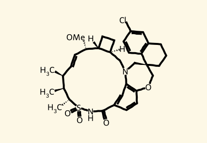 CO[C@H]1/C=C/[C@H](C)[C@H](C)[C@@H](C)S(=O)(=O)NC(=O)c2ccc3c(c2)N(C[C@@H]2CC[C@H]21)C[C@@]1(CCCc2cc(Cl)ccc21)CO3